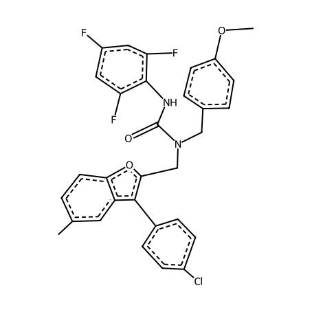 COc1ccc(CN(Cc2oc3ccc(C)cc3c2-c2ccc(Cl)cc2)C(=O)Nc2c(F)cc(F)cc2F)cc1